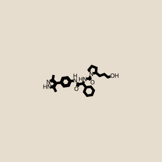 Cc1n[nH]c(C)c1-c1ccc(NC(=O)C(NC(=O)N2CCCC2CCCO)C2CCCCC2)cc1